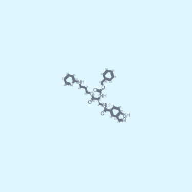 O=C(N[C@@H](CNC(=O)c1ccc2[nH]ncc2c1)C(=O)OCCCNc1ccccn1)OCc1ccccc1